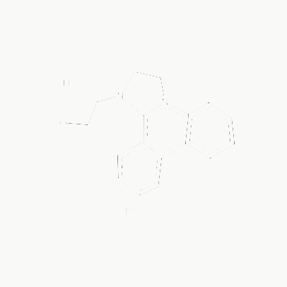 CC(CO)N1CC[n+]2c1c1ccccc1c1ccccc12.[Br-]